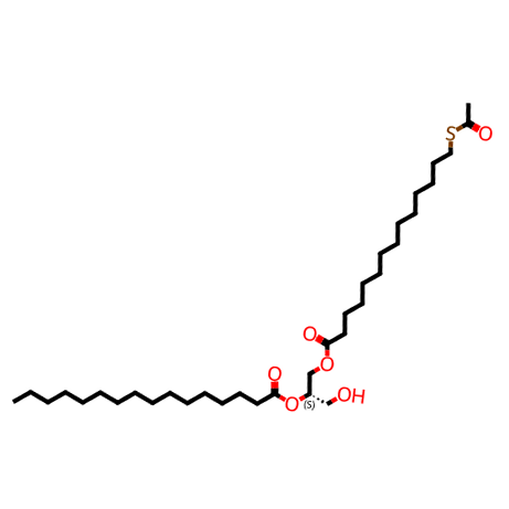 CCCCCCCCCCCCCCCC(=O)O[C@@H](CO)COC(=O)CCCCCCCCCCCCCSC(C)=O